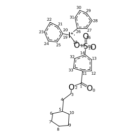 O=C(OCCC1CCCCC1)c1ccc(S(=O)(=O)O[I+](c2ccccc2)c2ccccc2)cc1